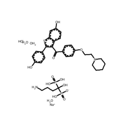 Cl.NCCCC(O)(P(=O)([O-])O)P(=O)(O)O.O.O.O.O=C(c1ccc(OCCN2CCCCC2)cc1)c1c(-c2ccc(O)cc2)sc2cc(O)ccc12.[Na+]